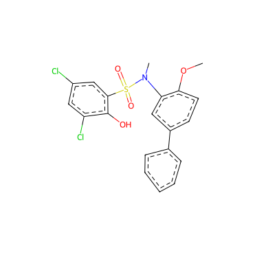 COc1ccc(-c2ccccc2)cc1N(C)S(=O)(=O)c1cc(Cl)cc(Cl)c1O